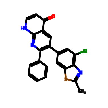 Cc1nc2c(Cl)cc(-c3cc4c(=O)cc[nH]c4nc3-c3ccccc3)cc2s1